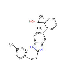 CC(C)(O)c1ccccc1-c1ccc2[nH]c(/C=C\c3ccc(C(F)(F)F)cc3)nc2c1